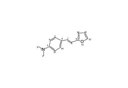 CN(C)c1ccc(C=Cc2ccco2)cc1